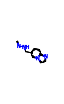 C=NNCc1ccc2nccn2c1